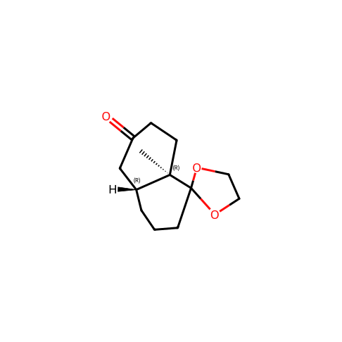 C[C@@]12CCC(=O)C[C@H]1CCCC21OCCO1